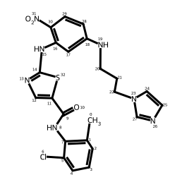 Cc1cccc(Cl)c1NC(=O)c1cnc(Nc2cc(NCCCn3ccnc3)ccc2[N+](=O)[O-])s1